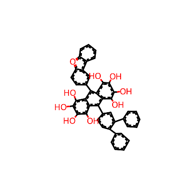 Oc1c(O)c(O)c2c(-c3ccc4oc5ccccc5c4c3)c3c(O)c(O)c(O)c(O)c3c(-c3ccc(-c4ccccc4)c(-c4ccccc4)c3)c2c1O